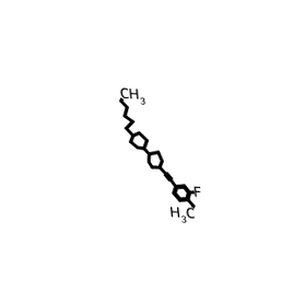 CCCCCCC1CCC(C2CCC(C#Cc3ccc(CC)c(F)c3)CC2)CC1